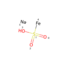 O=[S](=O)(O)[Fe].[Na]